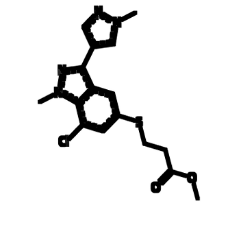 COC(=O)CCSc1cc(Cl)c2c(c1)c(-c1cnn(C)c1)nn2C